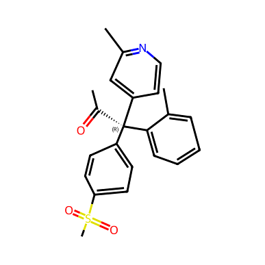 CC(=O)[C@](c1ccc(S(C)(=O)=O)cc1)(c1ccnc(C)c1)c1ccccc1C